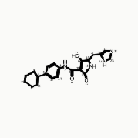 O=C(Nc1ccc(C2CCCCC2)cc1)C1=C(O)C(Cc2cnc[nH]2)NC1=O